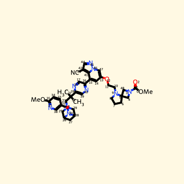 COC(=O)N1CC2(CCCN2CCOc2cc(-c3cnc(C(C)(C)CN4CC5CC(C4)N5Cc4ccc(OC)nc4)cn3)c3c(C#N)cnn3c2)C1